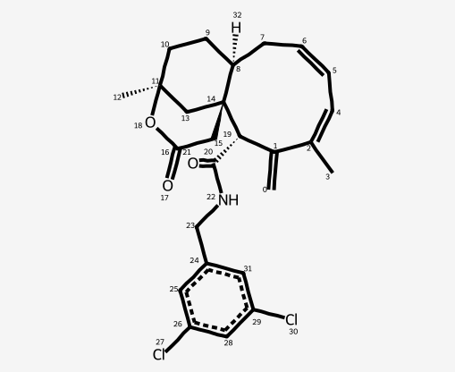 C=C1/C(C)=C\C=C/C[C@@H]2CC[C@@]3(C)C[C@@]2(CC(=O)O3)[C@H]1C(=O)NCc1cc(Cl)cc(Cl)c1